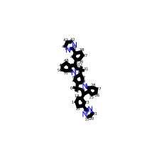 CC1(C)c2cc3c(cc2-n2c1c(-c1cccc(-c4ncccn4)c1)c1ccccc12)C(C)(C)c1c(-c2cccc(-c4ncccn4)c2)c2ccccc2n1-3